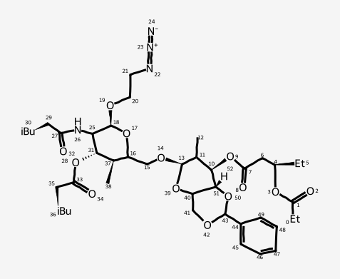 CCC(=O)O[C@H](CC)CC(=O)O[C@@H]1C(C)[C@H](OCC2O[C@H](OCCN=[N+]=[N-])C(NC(=O)C[C@H](C)CC)[C@@H](OC(=O)C[C@H](C)CC)[C@@H]2C)OC2COC(c3ccccc3)O[C@H]21